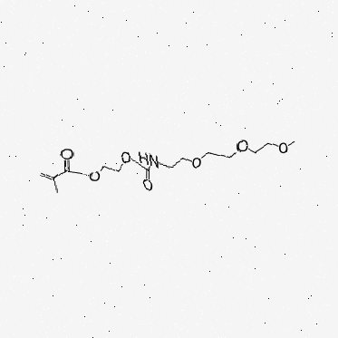 C=C(C)C(=O)OCCOC(=O)NCCOCCOCCOC